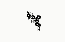 CC(=O)Nc1ccc(C(F)(F)F)cc1N1CCC(n2c(=N)n(Cc3cccc4[nH]ccc34)c3ccccc32)CC1